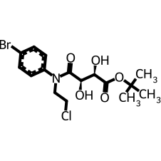 CC(C)(C)OC(=O)[C@H](O)[C@@H](O)C(=O)N(CCCl)c1ccc(Br)cc1